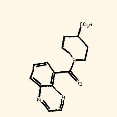 O=C(O)C1CCN(C(=O)c2cccc3nccnc23)CC1